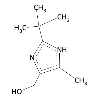 Cc1[nH]c(C(C)(C)C)nc1CO